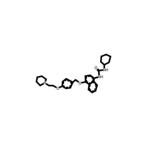 O=C(Nc1ccc(OCc2ccc(OCCN3CCCCC3)cc2)c2ccccc12)NC1CCCCC1